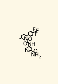 CC1CCC(c2ccc(C(F)(F)F)cc2)N(C(=O)C(=O)Nc2cncc(C(N)=O)c2)C1